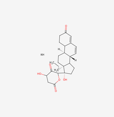 CC[C@]1([C@]2(O)CCC3[C@H]4C=CC5=CC(=O)CCC5[C@@H]4CC[C@@]32C)OC(=O)CC(O)C1=O.[KH]